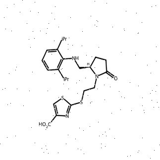 CC(C)c1cccc(C(C)C)c1NC[C@H]1CCC(=O)N1CCSc1nc(C(=O)O)cs1